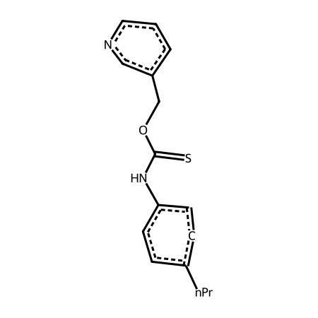 CCCc1ccc(NC(=S)OCc2cccnc2)cc1